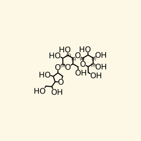 OCC(O)C1OCC(O[C@H]2OC(CO)[C@@H](O[C@H]3OC(CO)[C@@H](O)[C@@H](O)C3O)[C@@H](O)C2O)C1O